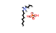 CCCCCCCC[N+](C)(C)CCCC.O=P([O-])(O)O